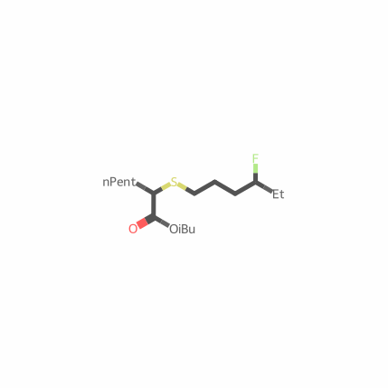 CCCCCC(SCCCC(F)CC)C(=O)OCC(C)C